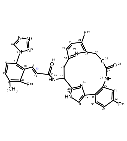 Cc1ccc(-n2cnnn2)c(/C=C/C(=O)NC2Cc3ccc(F)c(n3)CCC(=O)Nc3cc(F)ccc3-c3c[nH]c2n3)c1F